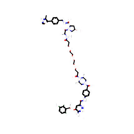 Cc1ncsc1-c1ccc(CNC(=O)[C@@H]2C[C@@H](O)CN2C(=O)[C@@H](NC(=O)CCOCCOCCOCCC(=O)N2[C@H](C)CN(C(=O)c3ccc(NC(=O)c4cc(O[C@H](C)c5c(Cl)ccc(F)c5Cl)c(N)nn4)cc3)C[C@@H]2C)C(C)(C)C)cc1